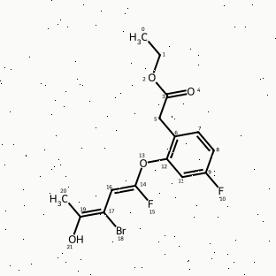 CCOC(=O)Cc1ccc(F)cc1O/C(F)=C/C(Br)=C(\C)O